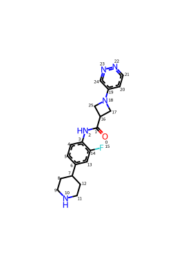 O=C(Nc1ccc(C2CCNCC2)cc1F)C1CN(c2ccnnc2)C1